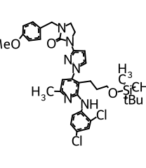 COc1ccc(CN2CCN(c3ccn(-c4cc(C)nc(Nc5ccc(Cl)cc5Cl)c4CCCO[Si](C)(C)C(C)(C)C)n3)C2=O)cc1